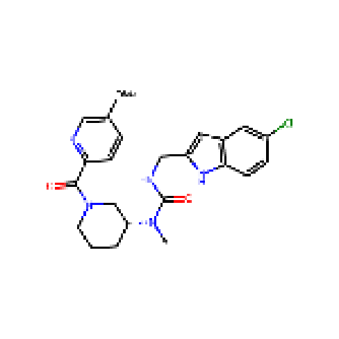 COc1ccc(C(=O)N2CCC[C@@H](N(C)C(=O)NCc3cc4cc(Cl)ccc4[nH]3)C2)nc1